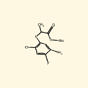 CC(Sc1cc(N)c(F)cc1Cl)C(=O)OC(C)(C)C